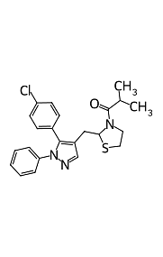 CC(C)C(=O)N1CCSC1Cc1cnn(-c2ccccc2)c1-c1ccc(Cl)cc1